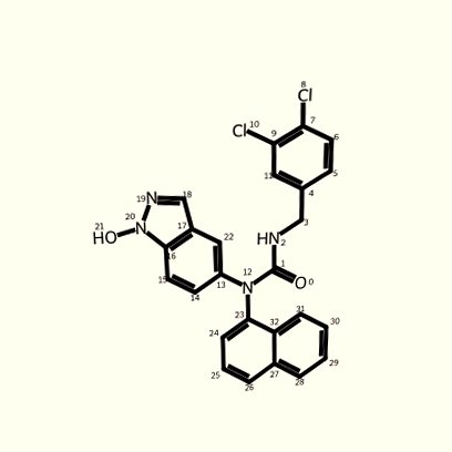 O=C(NCc1ccc(Cl)c(Cl)c1)N(c1ccc2c(cnn2O)c1)c1cccc2ccccc12